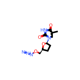 Cc1cn([C@H]2CC[C@@H](CON=[N+]=[N-])O2)c(=O)[nH]c1=O